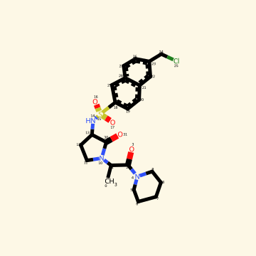 CC(C(=O)N1CCCCC1)N1CCC(NS(=O)(=O)c2ccc3cc(CCl)ccc3c2)C1=O